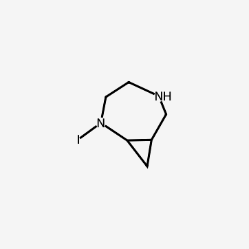 IN1CCNCC2CC21